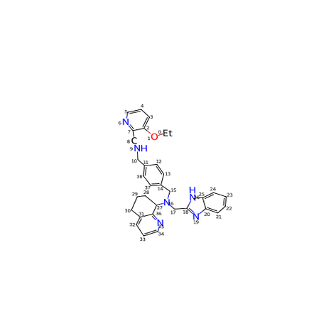 CCOc1cccnc1CNCc1ccc(CN(Cc2nc3ccccc3[nH]2)C2CCCc3cccnc32)cc1